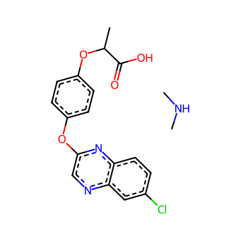 CC(Oc1ccc(Oc2cnc3cc(Cl)ccc3n2)cc1)C(=O)O.CNC